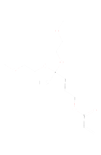 C=CC(=O)OCCCC([SiH3])(OCCOC)OCCOC